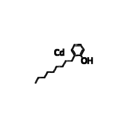 CCCCCCCCCc1ccccc1O.[Cd]